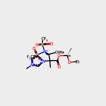 CCO[C@@H](C)OC(=O)C(C)(C(OC)=[N+](S(=O)(=O)C(F)(F)F)S(=O)(=O)C(F)(F)F)n1cc[n+](C)c1